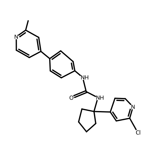 Cc1cc(-c2ccc(NC(=O)NC3(c4ccnc(Cl)c4)CCCC3)cc2)ccn1